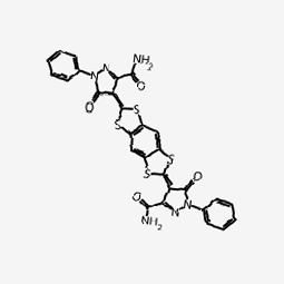 NC(=O)C1=NN(c2ccccc2)C(=O)C1=C1Sc2cc3c(cc2S1)SC(=C1C(=O)N(c2ccccc2)N=C1C(N)=O)S3